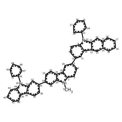 Cn1c2ccc(-c3ccc4c(c3)c3cc5ccccc5cc3n4-c3ccccc3)cc2c2ccc(-c3ccc4c5ccccc5n(-c5ccccc5)c4c3)cc21